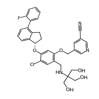 N#Cc1cncc(COc2cc(O[C@H]3CCc4c(-c5ccccc5F)cccc43)c(Cl)cc2CNC(CO)(CO)CO)c1